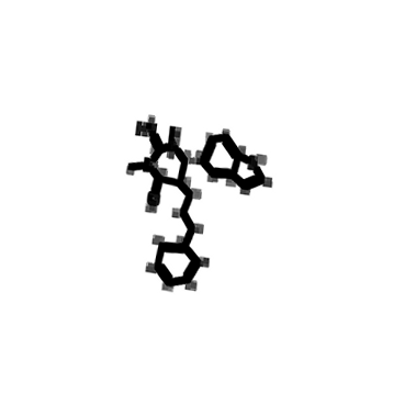 CN1C(=N)N[C@H](c2ccc3sccc3c2)C(CCCc2ccccc2)C1=O